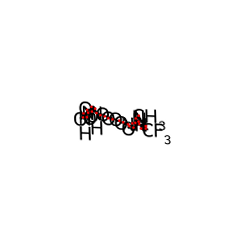 Cn1cc2c3cc(C(=O)NCCOCCOCCOCCOCCNc4cccc5c4C(=O)N(C4CCC(=O)NC4=O)C5=O)ccc3n(-c3ccc(C(F)(F)F)cc3)c2n1